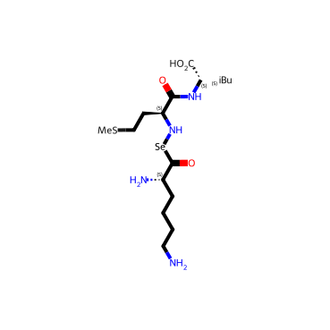 CC[C@H](C)[C@H](NC(=O)[C@H](CCSC)N[Se]C(=O)[C@@H](N)CCCCN)C(=O)O